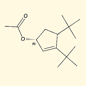 CC(=O)O[C@H]1C=C(C(C)(C)C)[C](C(C)(C)C)C1